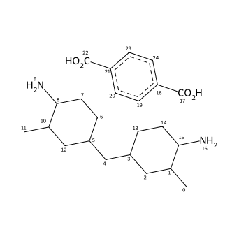 CC1CC(CC2CCC(N)C(C)C2)CCC1N.O=C(O)c1ccc(C(=O)O)cc1